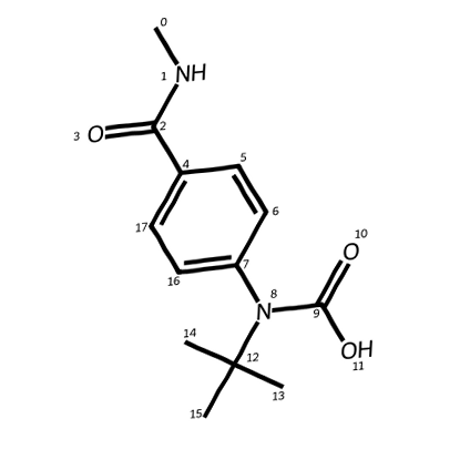 CNC(=O)c1ccc(N(C(=O)O)C(C)(C)C)cc1